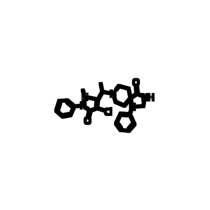 CC(c1c(Cl)c(=O)n(-c2ccccc2)n1C)N1CCC2(CC1)C(=O)NCN2c1ccccc1